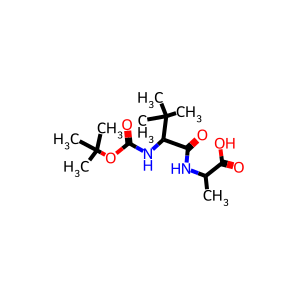 CC(NC(=O)C(NC(=O)OC(C)(C)C)C(C)(C)C)C(=O)O